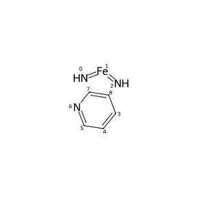 [NH]=[Fe]=[NH].c1ccncc1